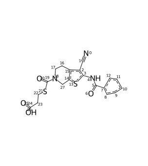 N#Cc1c(NC(=O)c2ccccc2)sc2c1CCN(C(=O)SCCC(=O)O)C2